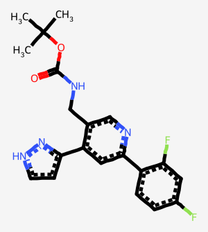 CC(C)(C)OC(=O)NCc1cnc(-c2ccc(F)cc2F)cc1-c1cc[nH]n1